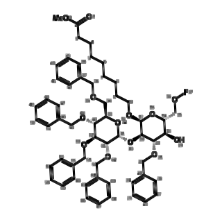 COC(=O)CCCCCCCCO[C@H]1O[C@H](COF)[C@@H](O)[C@H](OCc2ccccc2)[C@H]1O[C@H]1O[C@H](COCc2ccccc2)[C@@H](OCc2ccccc2)[C@H](OCc2ccccc2)[C@H]1OCc1ccccc1